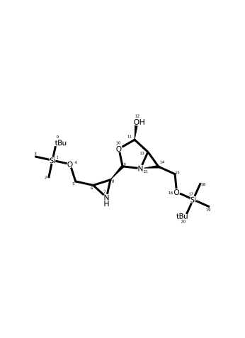 CC(C)(C)[Si](C)(C)OCC1N[C@@H]1C1O[C@@H](O)C2C(CO[Si](C)(C)C(C)(C)C)[N@@]12